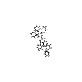 c1cc2c3c(c1)C1CCCCC1C1CC(c4ccc5c(c4)c4ccccc4n5-c4cccc5c4oc4ccccc45)CC(C4CCCCC24)C31